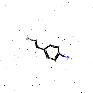 CCC=Cc1ccc(N)cc1